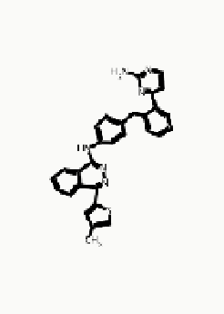 Cc1csc(-c2nnc(Nc3ccc(Cc4ccccc4-c4ccnc(N)n4)cc3)c3ccccc23)c1